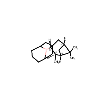 C[C@H]1[C@H](B2C3CCCC2CCC3)C[C@H]2C[C@@H]1C2(C)C